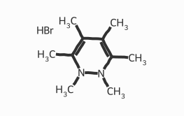 Br.CC1=C(C)N(C)N(C)C(C)=C1C